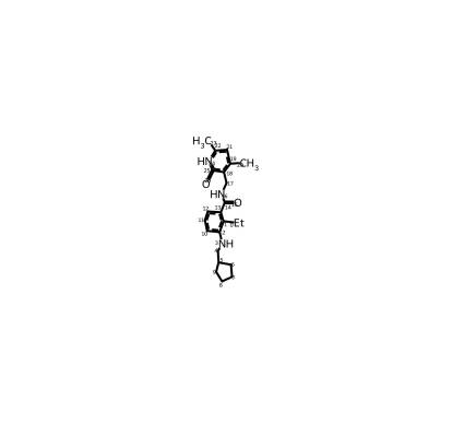 CCc1c(NCC2CCCC2)cccc1C(=O)NCc1c(C)cc(C)[nH]c1=O